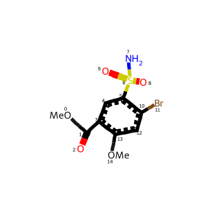 COC(=O)c1cc(S(N)(=O)=O)c(Br)cc1OC